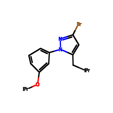 CC(C)Cc1cc(Br)nn1-c1cccc(OC(C)C)c1